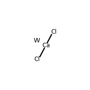 [Cl][Ca][Cl].[W]